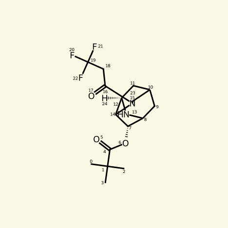 CC(C)(C)C(=O)O[C@H]1C2CC3C[C@@H](N2)C1N(C(=O)CC(F)(F)F)C3